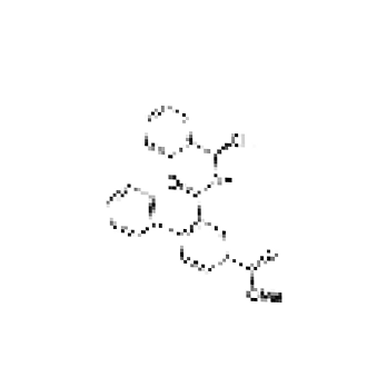 COC(=O)c1ccc(-c2ccccc2)c(C(=O)N[C@H](C)c2ccccc2)c1